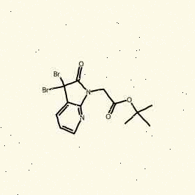 CC(C)(C)OC(=O)CN1C(=O)C(Br)(Br)c2cccnc21